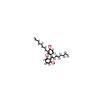 CCCCCCCCC1C(=O)C=CC=C1OC1=CC=CC(=O)C1CCCCCCCC